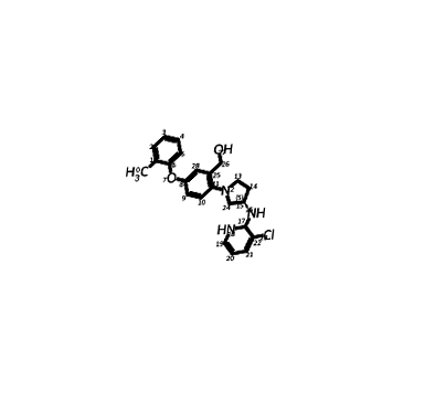 Cc1ccccc1Oc1ccc(N2CC[C@H](NC3NC=CC=C3Cl)C2)c(CO)c1